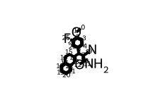 COc1ccc(C2C(C#N)=C(N)OC3=C2CCc2ccccc23)cc1F